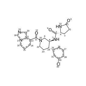 O=C1CC[C@H](C(=O)N[C@@H]2CN(C(=O)c3cccn4cncc34)CC[C@H]2c2cccc(Cl)c2)N1